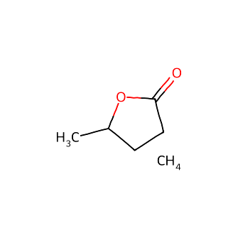 C.CC1CCC(=O)O1